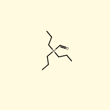 CCC[N+]([C]=O)(CCC)CCC